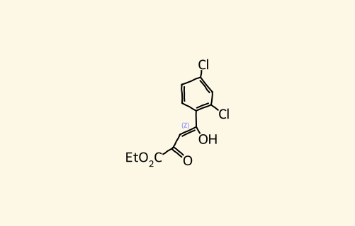 CCOC(=O)C(=O)/C=C(\O)c1ccc(Cl)cc1Cl